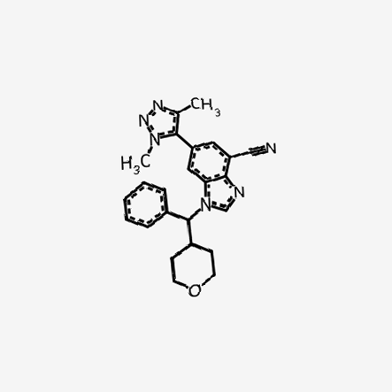 Cc1nnn(C)c1-c1cc(C#N)c2ncn(C(c3ccccc3)C3CCOCC3)c2c1